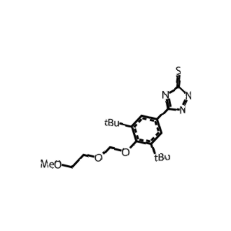 COCCOCOc1c(C(C)(C)C)cc(C2=NC(=S)N=N2)cc1C(C)(C)C